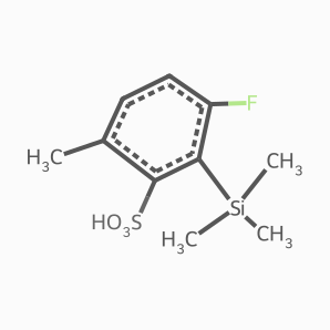 Cc1ccc(F)c([Si](C)(C)C)c1S(=O)(=O)O